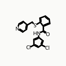 O=C(Nc1cc(Cl)cc(Cl)c1)c1ccccc1SCc1ccncc1